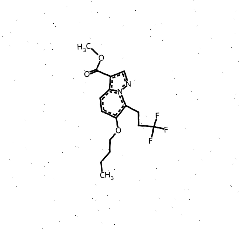 CCCCOc1ccc2c(C(=O)OC)cnn2c1CCC(F)(F)F